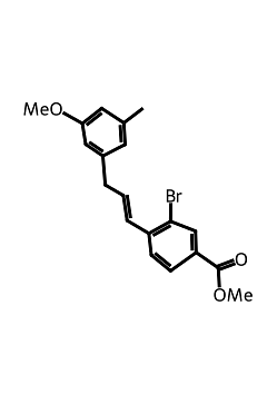 COC(=O)c1ccc(/C=C/Cc2cc(C)cc(OC)c2)c(Br)c1